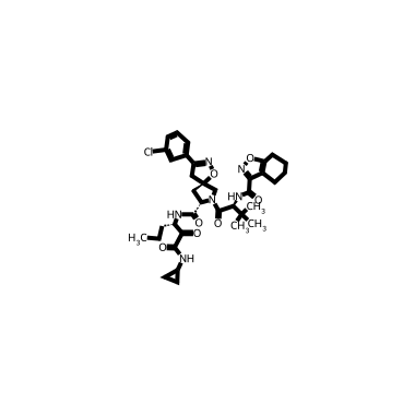 CCC[C@H](NC(=O)[C@@H]1C[C@]2(CC(c3cccc(Cl)c3)=NO2)CN1C(=O)[C@@H](NC(=O)c1noc2c1CCCC2)C(C)(C)C)C(=O)C(=O)NC1CC1